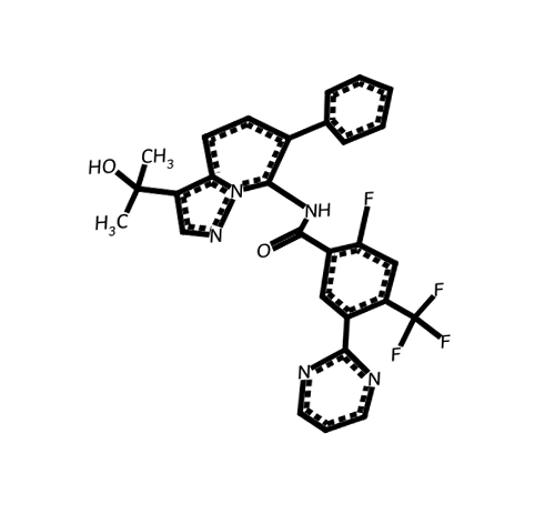 CC(C)(O)c1cnn2c(NC(=O)c3cc(-c4ncccn4)c(C(F)(F)F)cc3F)c(-c3ccccc3)ccc12